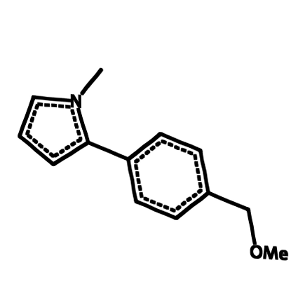 COCc1ccc(-c2cccn2C)cc1